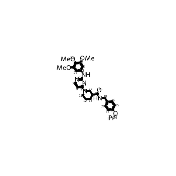 COc1cc(Nc2nccc(N3CCCC(C(=O)NCc4ccc(OC(C)C)cc4)C3)n2)cc(OC)c1OC